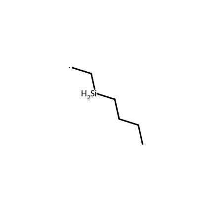 [CH2]C[SiH2]CCCC